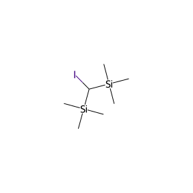 C[Si](C)(C)C(I)[Si](C)(C)C